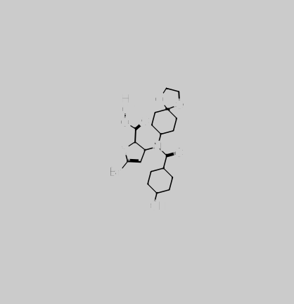 COC(=O)C1SC(Br)=CC1N(C(=O)C1CCC(C)CC1)C1CCC2(CC1)OCCO2